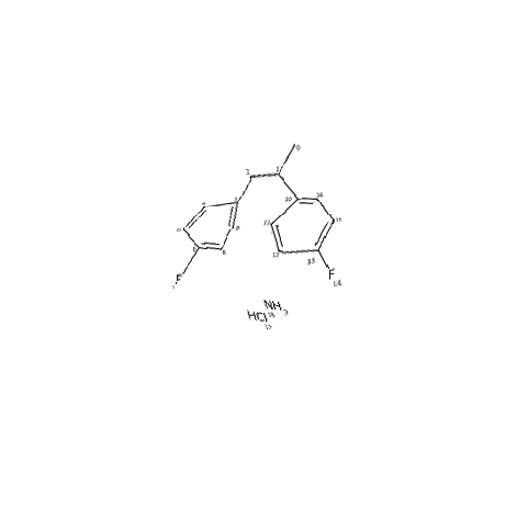 CC(Cc1ccc(F)cc1)c1ccc(F)cc1.Cl.N